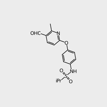 Cc1nc(Oc2ccc(NS(=O)(=O)C(C)C)cc2)ccc1C=O